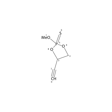 C#CC1COP(=S)(OC)O1